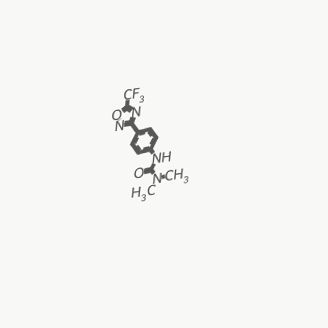 CN(C)C(=O)Nc1ccc(-c2noc(C(F)(F)F)n2)cc1